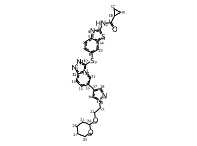 O=C(Nc1nc2ccc(Sc3nnc4ccc(-c5cnn(CCOC6CCCCO6)c5)cn34)cc2s1)C1CC1